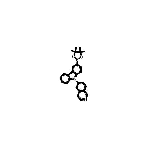 CC1(C)OB(c2ccc3c(c2)c2ccccc2n3-c2ccc3cnccc3c2)OC1(C)C